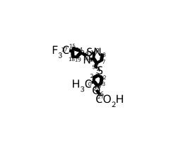 Cc1cc(SCc2ccnc3sc(-c4ccc(C(F)(F)F)cc4)nc23)ccc1OCC(=O)O